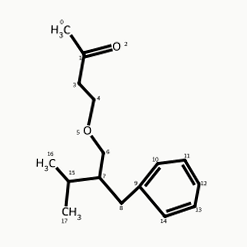 CC(=O)CCOCC(Cc1ccccc1)C(C)C